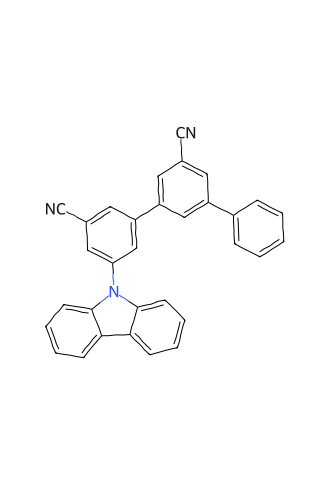 N#Cc1cc(-c2ccccc2)cc(-c2cc(C#N)cc(-n3c4ccccc4c4ccccc43)c2)c1